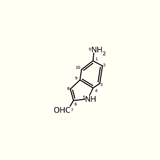 Nc1ccc2[nH]c(C=O)cc2c1